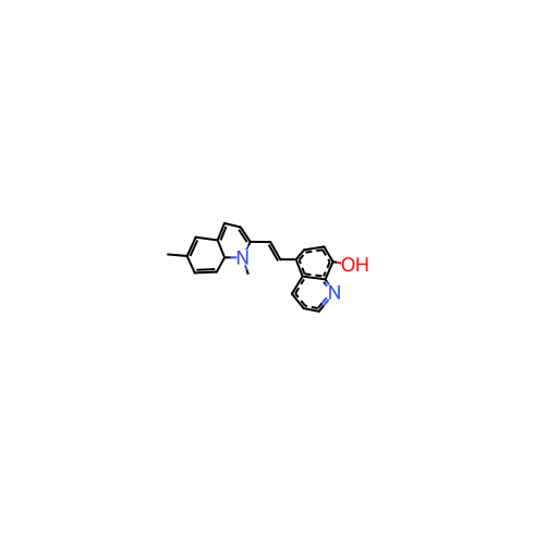 CC1=CC2=CC=C(C=Cc3ccc(O)c4ncccc34)N(C)C2C=C1